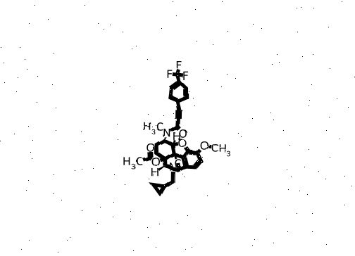 COc1ccc2c3c1O[C@H]1[C@@H](N(C)C(=O)C#Cc4ccc(C(F)(F)F)cc4)CCC4(OC(C)=O)[C@@H](C2)N(CC2CC2)CC[C@]314